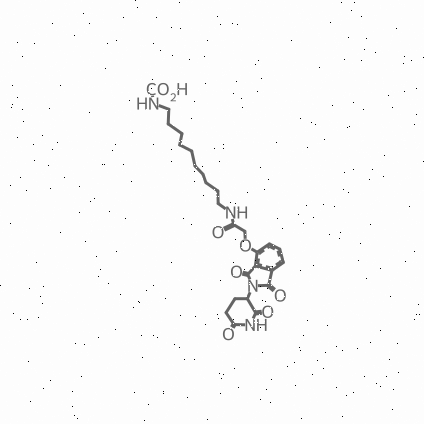 O=C(O)NCCCCCCCCCCNC(=O)COc1cccc2c1C(=O)N(C1CCC(=O)NC1=O)C2=O